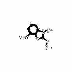 COc1cccc2c1SC(SN)N2C(C)(C)C